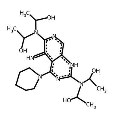 CC(O)N(c1nc(N2CCCCC2)c2c(=N)c(N(C(C)O)C(C)O)ncc-2[nH]1)C(C)O